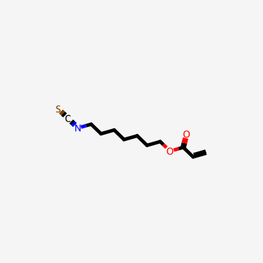 C=CC(=O)OCCCCCCCN=C=S